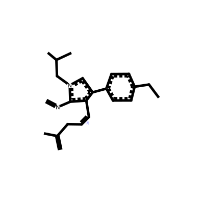 C=Nc1c(/C=C\CC(=C)C)c(-c2ccc(CC)cc2)cn1CC(C)C